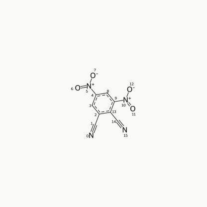 N#Cc1cc([N+](=O)[O-])cc([N+](=O)[O-])c1C#N